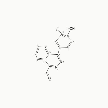 O=Cc1nnc(-c2ccc(O)c(Cl)c2)c2ccccc12